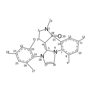 [CH]N1CCC(=C2N(c3c(C)cc(C)cc3C)C=CN2c2c(C)cc(C)cc2C)C1=O